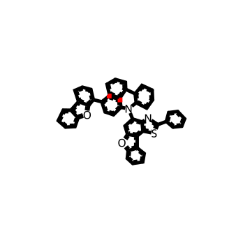 c1ccc(-c2nc3c(N(c4ccc(-c5cccc6c5oc5ccccc56)cc4)c4ccccc4-c4ccccc4)cc4oc5ccccc5c4c3s2)cc1